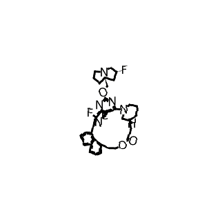 O=C1C[C@H]2CCCN(C2)c2nc(OC[C@@]34CCCN3C[C@H](F)C4)nc3c(F)c(ncc23)-c2cccc3cccc(c23)CCO1